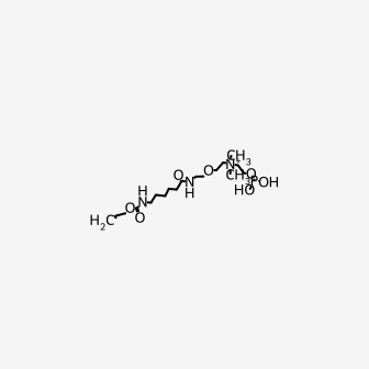 C=CCOC(=O)NCCCCCC(=O)NCCOCC[N+](C)(C)CCOP(O)O